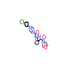 C[C@@H]1CN(C(=O)c2nn(CC(=O)N3CCN(c4ccc(Cl)cc4)CC3)c3c2CCC3)C[C@H](C)O1